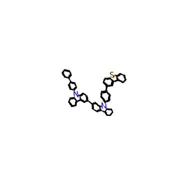 c1ccc(-c2ccc(-n3c4ccccc4c4cc(-c5ccc6c7ccccc7n(-c7ccc(-c8ccc9sc%10ccccc%10c9c8)cc7)c6c5)ccc43)cc2)cc1